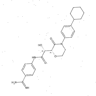 N=C(N)c1ccc(NC(=O)[C@H](O)[C@H]2OCCN(c3ccc(C4CCCCC4)cc3)C2=O)cc1